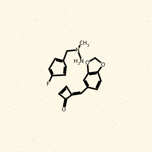 CN(N)Cc1ccc(F)cc1.O=C1C=CC1=Cc1ccc2c(c1)OCO2